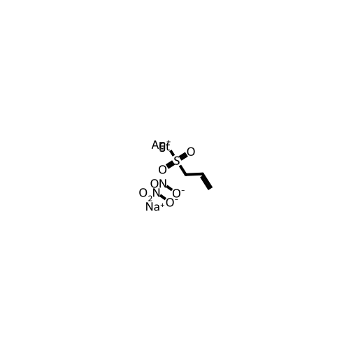 C=CCS(=O)(=O)CC.O=N[O-].O=[N+]([O-])[O-].[Ag+].[Na+]